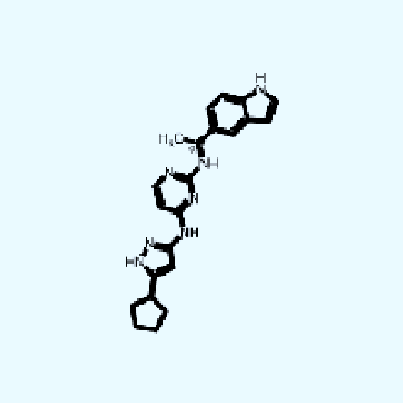 C[C@H](Nc1nccc(Nc2cc(C3CCCC3)[nH]n2)n1)c1ccc2[nH]ccc2c1